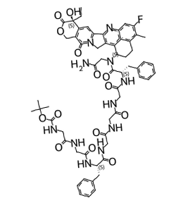 CC[C@@]1(O)C(=O)OCc2c1cc1n(c2=O)Cc2c-1nc1cc(F)c(C)c3c1c2[C@@H](N(CC(N)=O)C(=O)[C@H](Cc1ccccc1)NC(=O)CNC(=O)CNC(=O)CNC(=O)[C@H](Cc1ccccc1)NC(=O)CNC(=O)CNC(=O)OC(C)(C)C)CC3